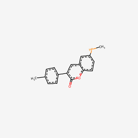 CPc1ccc2oc(=O)c(-c3ccc(C)cc3)cc2c1